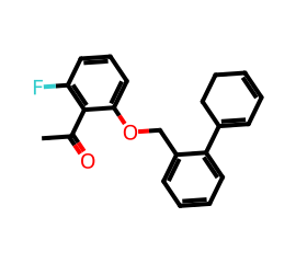 CC(=O)c1c(F)cccc1OCc1ccccc1C1=CC=CCC1